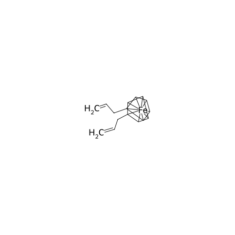 C=CC[C]12[CH]3[CH]4[CH]5[CH]1[Fe]45321678[CH]2[CH]1[CH]6[C]7(CC=C)[CH]28